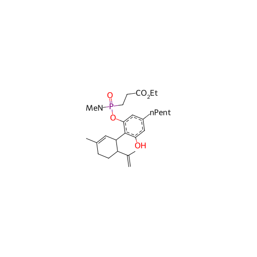 C=C(C)C1CCC(C)=CC1c1c(O)cc(CCCCC)cc1OP(=O)(CCC(=O)OCC)NC